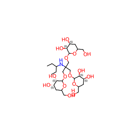 CCC(CC)NC(COC1OC(CO)C[C@H](O)[C@@H]1O)(COC1OC(CO)C[C@H](O)[C@@H]1O)COC1OC(CO)C[C@H](O)[C@@H]1O